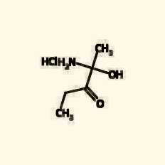 CCC(=O)C(C)(N)O.Cl